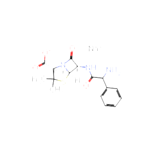 CC1(C)S[C@@H]2[C@H](NC(=O)C(N)c3ccccc3)C(=O)N2[C@H]1C(=O)[O-].[Na+]